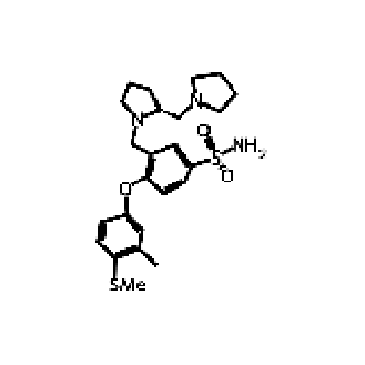 CSc1ccc(Oc2ccc(S(N)(=O)=O)cc2CN2CCC[C@H]2CN2CCCC2)cc1C